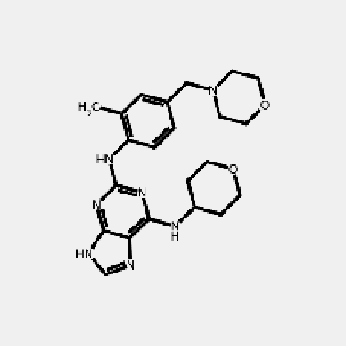 Cc1cc(CN2CCOCC2)ccc1Nc1nc(NC2CCOCC2)c2nc[nH]c2n1